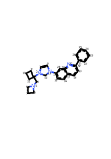 C1=CN(C2(CN3CCC3)CCC2)CN1c1ccc2ccc(-c3ccccc3)nc2c1